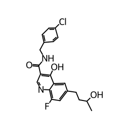 CC(O)CCc1cc(F)c2ncc(C(=O)NCc3ccc(Cl)cc3)c(O)c2c1